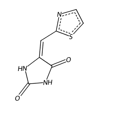 O=C1NC(=O)C(=Cc2nccs2)N1